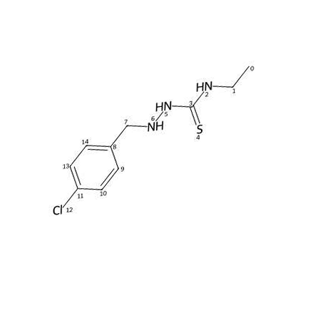 CCNC(=S)NNCc1ccc(Cl)cc1